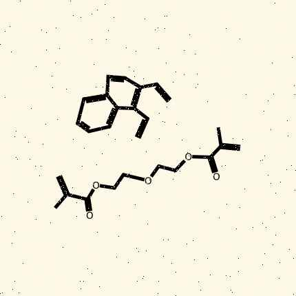 C=C(C)C(=O)OCCOCCOC(=O)C(=C)C.C=Cc1ccc2ccccc2c1C=C